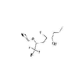 CCCC(O)C(F)CC(OC=O)C(F)(F)F